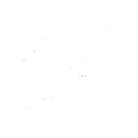 COc1ccc(C(O)(COS(C)(=O)=O)c2ccc(OC)cc2)cc1